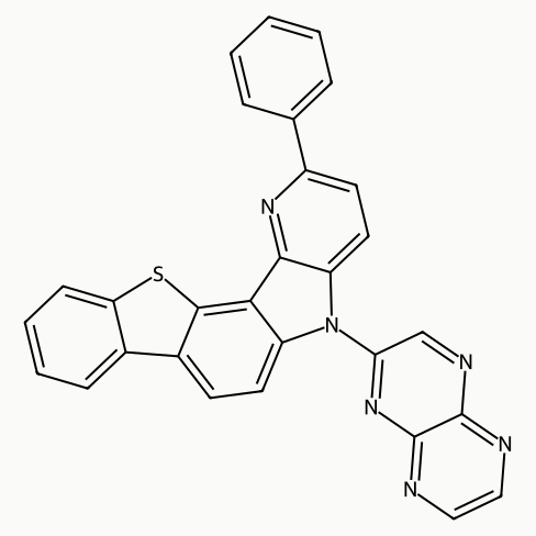 c1ccc(-c2ccc3c(n2)c2c4sc5ccccc5c4ccc2n3-c2cnc3nccnc3n2)cc1